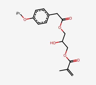 C=C(C)C(=O)OCC(O)COC(=O)Cc1ccc(OC(C)C)cc1